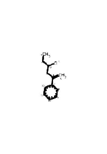 C=C(CC(Cl)CC)c1ccccc1